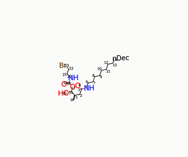 C=C(CC(=O)NCCCCCCCCCCCCCCCCCC)C(O)OC(=O)NCCBr